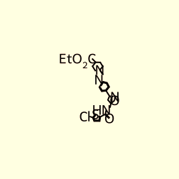 CCOC(=O)C1CCN(C=Nc2ccc(C3=NOC(CNC(=O)c4ccc(Cl)s4)C3)cc2)CC1